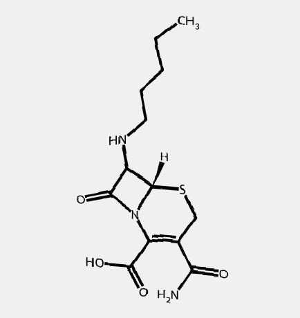 CCCCCNC1C(=O)N2C(C(=O)O)=C(C(N)=O)CS[C@@H]12